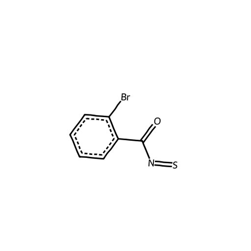 O=C(N=S)c1ccccc1Br